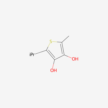 Cc1sc(C(C)C)c(O)c1O